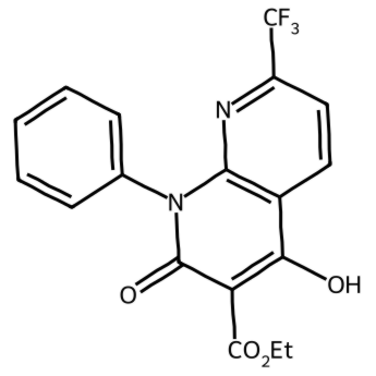 CCOC(=O)c1c(O)c2ccc(C(F)(F)F)nc2n(-c2ccccc2)c1=O